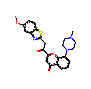 CCOc1ccc2sc(CC(=O)c3cc(=O)c4cccc(N5CCN(C)CC5)c4o3)nc2c1